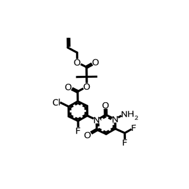 C=CCOC(=O)C(C)(C)OC(=O)c1cc(-n2c(=O)cc(C(F)F)n(N)c2=O)c(F)cc1Cl